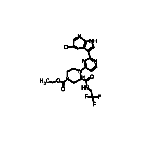 CCOC(=O)N1CCN(c2ccnc(-c3c[nH]c4ncc(Cl)cc34)n2)[C@@H](C(=O)NCC(F)(F)F)C1